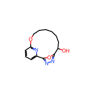 OC1CCCCCCOc2cccc(n2)-c2nnc1o2